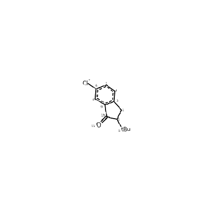 CC(C)(C)C1Cc2ccc(Cl)cc2C1=O